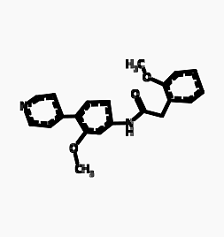 COc1ccccc1CC(=O)Nc1ccc(-c2ccncc2)c(OC)c1